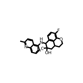 Cc1ccc2c(NC3c4ccc(F)c5c4C(CCO5)CC3(O)C(F)(F)F)cccc2n1